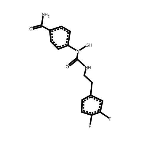 NC(=O)c1ccc(N(S)C(=O)NCCc2ccc(F)c(F)c2)cc1